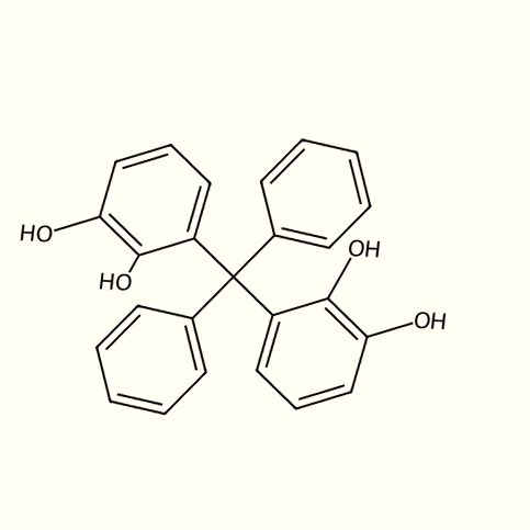 Oc1cccc(C(c2ccccc2)(c2ccccc2)c2cccc(O)c2O)c1O